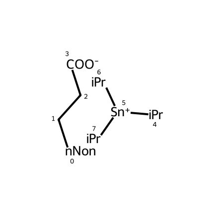 CCCCCCCCCCCC(=O)[O-].C[CH](C)[Sn+]([CH](C)C)[CH](C)C